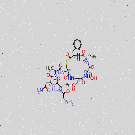 CC(C)C[C@@H]1NC(=O)[C@H](CO)NC(=O)[C@H](CO)NC(=O)[C@@H](NC(=O)[C@H](C)NC(=O)[C@H](CC(N)=O)NC(=O)[C@@H](NC(=O)CN)C(C)C)CSC(=O)[C@H](Cc2ccccc2)NC1=O